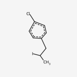 CC(I)Cc1ccc(Cl)cc1